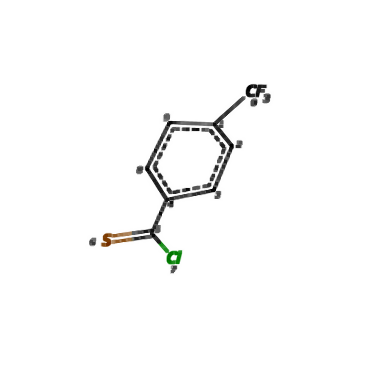 FC(F)(F)c1ccc(C(=S)Cl)cc1